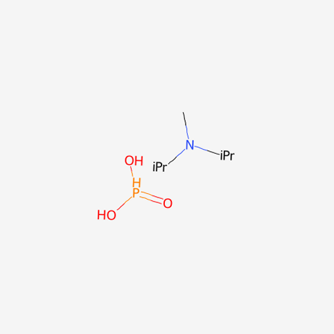 CC(C)N(C)C(C)C.O=[PH](O)O